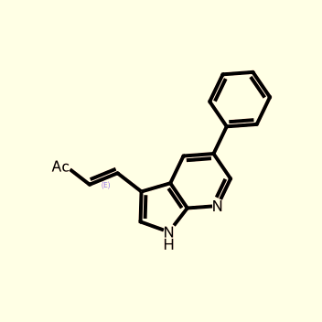 CC(=O)/C=C/c1c[nH]c2ncc(-c3ccccc3)cc12